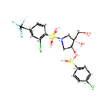 O=S(O[C@H]1CN(S(=O)(=O)c2ccc(C(F)(F)F)cc2Cl)C[C@@]1(O)CO)c1ccc(Cl)cc1